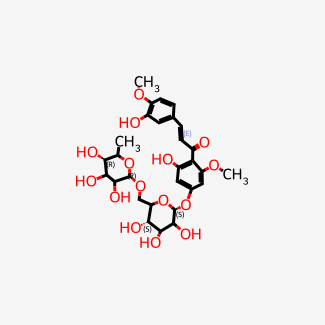 COc1ccc(/C=C/C(=O)c2c(O)cc(O[C@@H]3OC(CO[C@@H]4OC(C)[C@H](O)C(O)C4O)[C@@H](O)C(O)C3O)cc2OC)cc1O